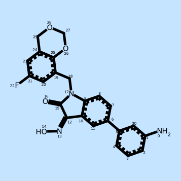 Nc1cccc(-c2ccc3c(c2)/C(=N/O)C(=O)N3Cc2cc(F)cc3c2OCOC3)c1